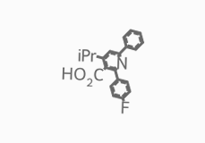 CC(C)c1cc(-c2ccccc2)nc(-c2ccc(F)cc2)c1C(=O)O